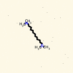 CN(C)CCCCCCCCCCCCCN(C)C